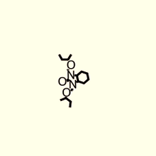 CCC(C)OCN1C(=O)N(COC(C)CC)C2CCCCC21